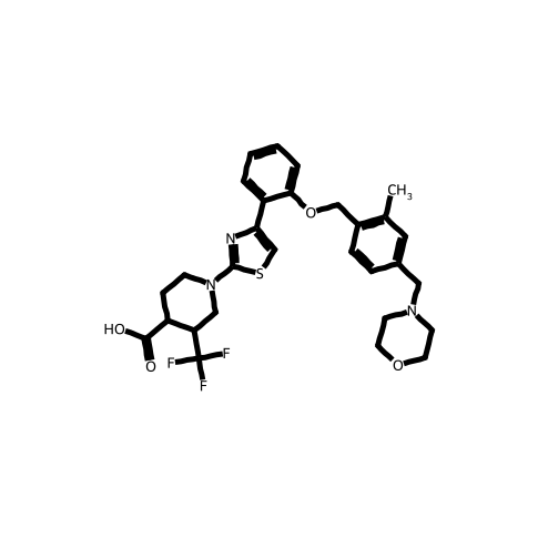 Cc1cc(CN2CCOCC2)ccc1COc1ccccc1-c1csc(N2CCC(C(=O)O)C(C(F)(F)F)C2)n1